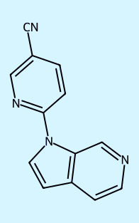 N#Cc1ccc(-n2ccc3ccncc32)nc1